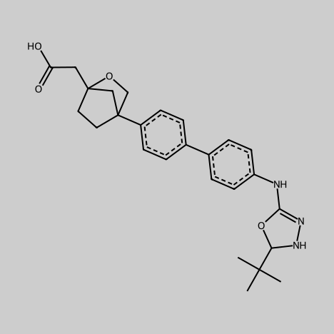 CC(C)(C)C1NN=C(Nc2ccc(-c3ccc(C45CCC(CC(=O)O)(C4)OC5)cc3)cc2)O1